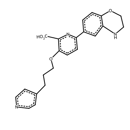 O=C(O)c1nc(-c2ccc3c(c2)NCCO3)ccc1OCCCc1ccncc1